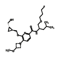 COC1CN(c2ccc(C(=O)NC(COCCCF)CC(C)C)nc2OC[C@H]2C[C@@H]2CO)C1